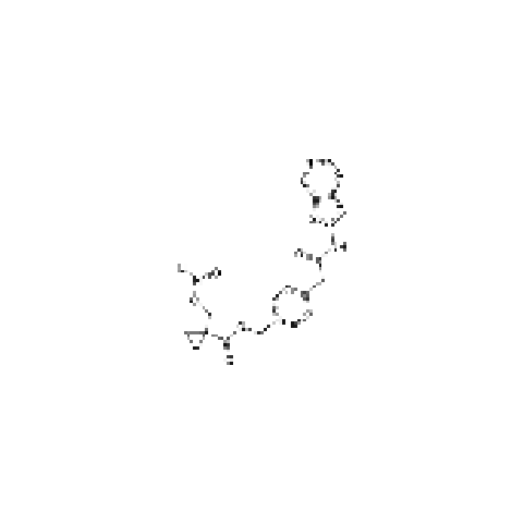 O=C(Cc1ccc(COC(=O)C2(CO[N+](=O)[O-])CC2)cc1)Nc1cc2ccncc2s1